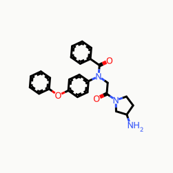 NC1CCN(C(=O)CN(C(=O)c2ccccc2)c2ccc(Oc3ccccc3)cc2)C1